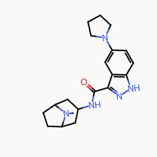 CN1C2CCC1CC(NC(=O)c1n[nH]c3ccc(N4CCCC4)cc13)C2